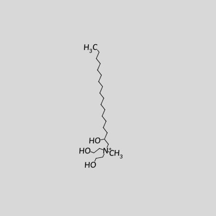 CCCCCCCCCCCCCCCCC(O)C[N+](C)(CCO)CCO